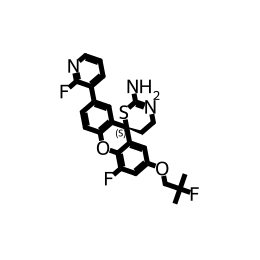 CC(C)(F)COc1cc(F)c2c(c1)[C@]1(CCN=C(N)S1)c1cc(-c3cccnc3F)ccc1O2